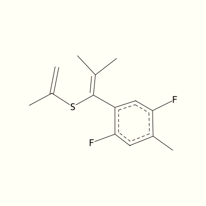 C=C(C)SC(=C(C)C)c1cc(F)c(C)cc1F